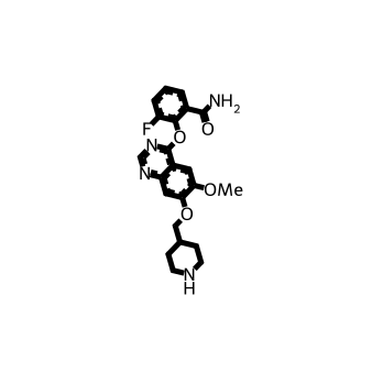 COc1cc2c(Oc3c(F)cccc3C(N)=O)ncnc2cc1OCC1CCNCC1